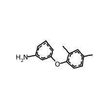 Cc1ccc(Oc2cccc(N)c2)c(C)c1